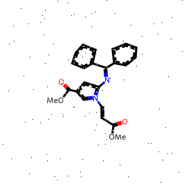 COC(=O)/C=C/n1cc(C(=O)OC)cc1N=C(c1ccccc1)c1ccccc1